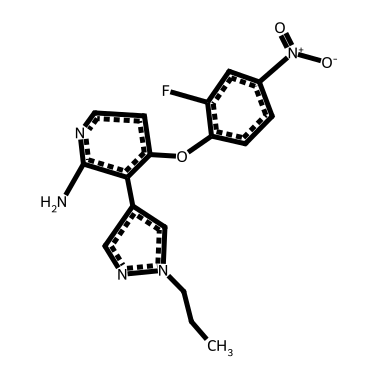 CCCn1cc(-c2c(Oc3ccc([N+](=O)[O-])cc3F)ccnc2N)cn1